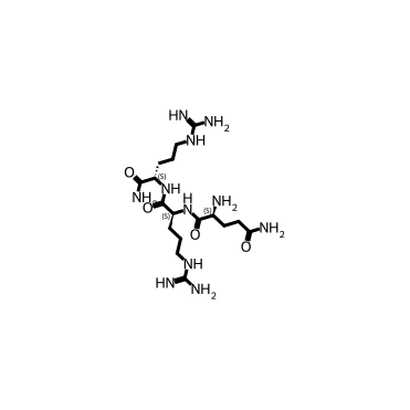 N=C(N)NCCC[C@H](NC(=O)[C@H](CCCNC(=N)N)NC(=O)[C@@H](N)CCC(N)=O)C(N)=O